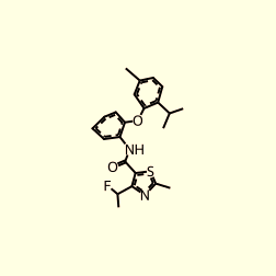 Cc1ccc(C(C)C)c(Oc2ccccc2NC(=O)c2sc(C)nc2C(C)F)c1